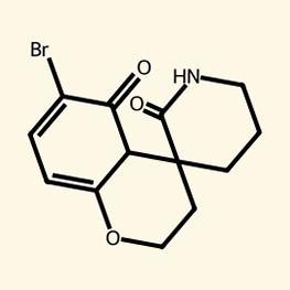 O=C1C(Br)=CC=C2OCCC3(CCCNC3=O)C12